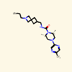 C[C@@H]1CN(c2cnc(C(F)(F)F)cn2)C[C@H](C)N1C(=O)NCC1CC2(C1)CN(CCC(C)(C)C)C2